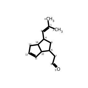 CC(C)=CC1CC(CC=O)C2C=CCC12